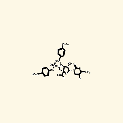 COc1ccc(OSP(=O)(OC[C@@]2(C(F)F)O[C@@H](n3cc(F)c(N)nc3=O)[C@H](O)[C@@H]2O)Oc2ccc(OC)cc2)cc1